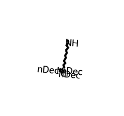 CCCCCCCCCCCl.CCCCCCCCCCN(C)CCCCCCCCCC.CCCCCCCCCCNC